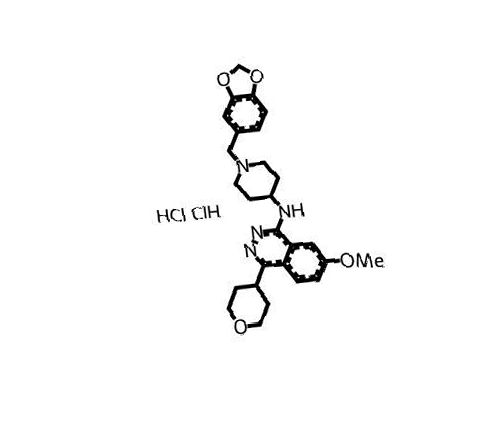 COc1ccc2c(C3CCOCC3)nnc(NC3CCN(Cc4ccc5c(c4)OCO5)CC3)c2c1.Cl.Cl